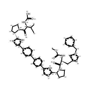 COC(=O)N[C@@H](Cc1cn(Cc2ccccc2)cn1)C(=O)N1CCC[C@H]1c1ncc(-c2ccc(-c3ccc(-c4cnc([C@@H]5CCCN5C(=O)[C@@H](NC(=O)O)C(C)C)[nH]4)cc3)cc2)[nH]1